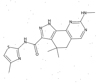 CNc1ncc2c(n1)-c1[nH]nc(C(=O)Nc3nc(C)cs3)c1C(C)(C)C2